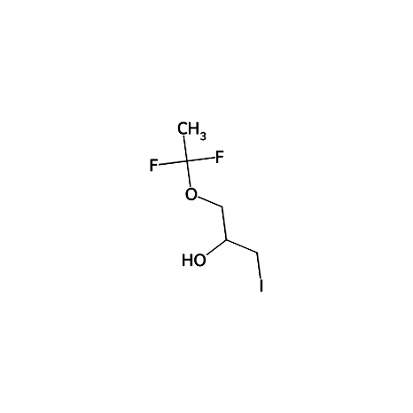 CC(F)(F)OCC(O)CI